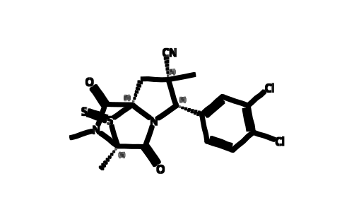 CN1C(=O)[C@@]23C[C@](C)(C#N)[C@H](c4ccc(Cl)c(Cl)c4)N2C(=O)[C@]1(C)S3=S